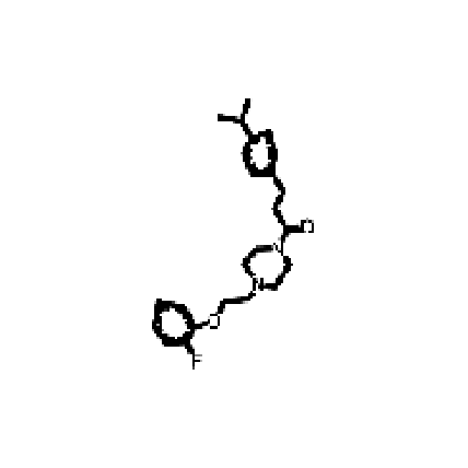 CC(C)c1ccc(CCC(=O)N2CCN(CCOc3ccccc3F)CC2)cc1